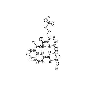 COC(=O)CCCc1ccc(Oc2cccc(OC)c2)cc1C(=O)NC(C)c1cccc2ccccc12